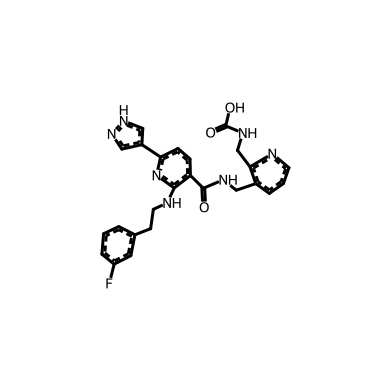 O=C(O)NCc1ncccc1CNC(=O)c1ccc(-c2cn[nH]c2)nc1NCCc1cccc(F)c1